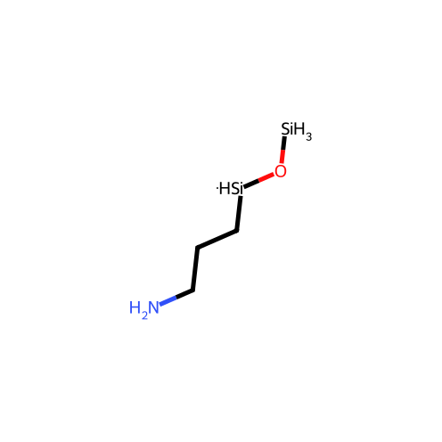 NCCC[SiH]O[SiH3]